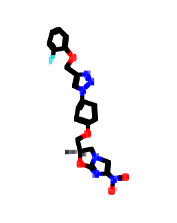 C[C@]1(COc2ccc(-n3cc(COc4ccccc4F)nn3)cc2)Cn2cc([N+](=O)[O-])nc2O1